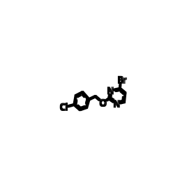 Clc1ccc(COc2nccc(Br)n2)cc1